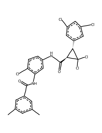 Cc1cc(C)cc(C(=O)Nc2cc(NC(=O)[C@H]3[C@H](c4cc(Cl)cc(Cl)c4)C3(Cl)Cl)ccc2Cl)c1